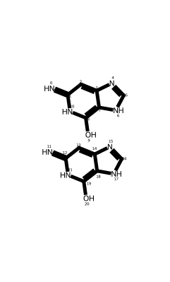 N=c1cc2nc[nH]c2c(O)[nH]1.N=c1cc2nc[nH]c2c(O)[nH]1